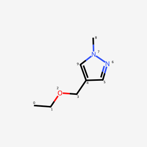 CCOCc1cnn(C)c1